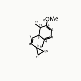 COC1=CC=C(C)C(/C=C\C2CC2)C1C